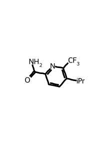 CC(C)c1ccc(C(N)=O)nc1C(F)(F)F